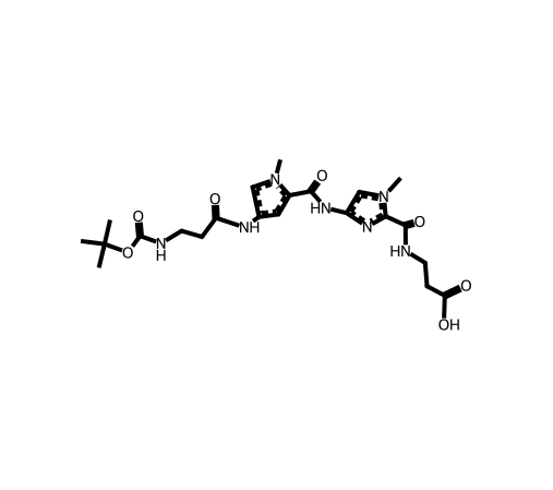 Cn1cc(NC(=O)CCNC(=O)OC(C)(C)C)cc1C(=O)Nc1cn(C)c(C(=O)NCCC(=O)O)n1